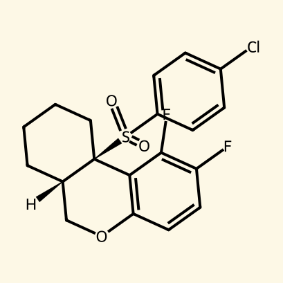 O=S(=O)(c1ccc(Cl)cc1)[C@]12CCCC[C@H]1COc1ccc(F)c(F)c12